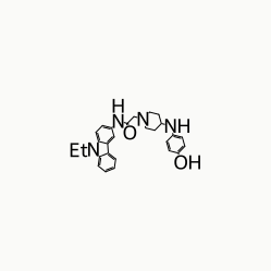 CCn1c2ccccc2c2cc(NC(=O)CN3CCC(Nc4ccc(O)cc4)CC3)ccc21